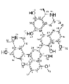 COc1cc(C)cc2c(-c3c(O)cc(O)c4c3C[C@@H](C)N[C@@H]4C)cc(-c3cc(-c4c(O)cc(O)c5c4C[C@@H](C)N[C@@H]5C)c4cc(C)cc(OC)c4c3O)c(O)c12